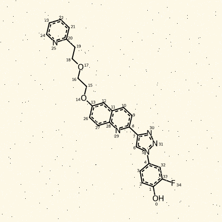 Oc1ccc(-n2cc(-c3ccc4cc(OCCOCCc5ccccn5)ccc4n3)nn2)cc1F